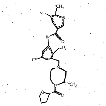 Cc1ncc(C(=O)Nc2cc(Cl)cc(CN3CCN(C(=O)[C@H]4CCCO4)[C@@H](C)C3)c2C)cc1C#N